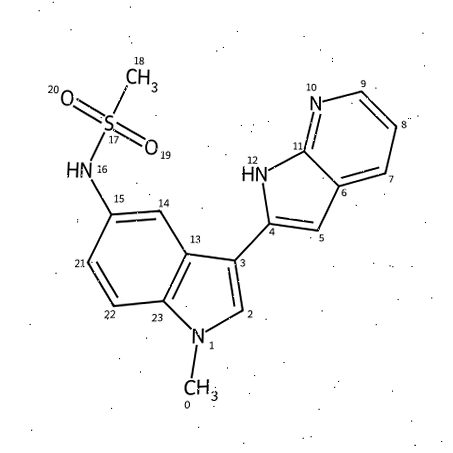 Cn1cc(-c2cc3cccnc3[nH]2)c2cc(NS(C)(=O)=O)ccc21